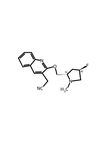 CN1C[C@H](F)C[C@H]1COc1nc2ccccc2cc1CC#N